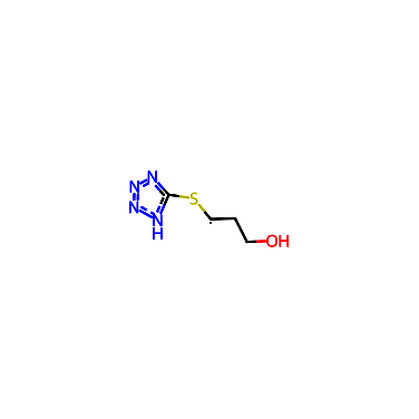 OCC[CH]Sc1nnn[nH]1